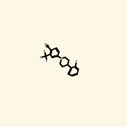 N#Cc1ccc(N2CCC(c3cc[c]cc3F)CC2)cc1C(F)(F)F